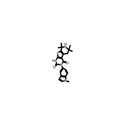 Cn1ccc2cc(-n3c(=O)[nH]c4sc5c(c4c3=O)CC(C)(C)NC5(C)C)ccc21